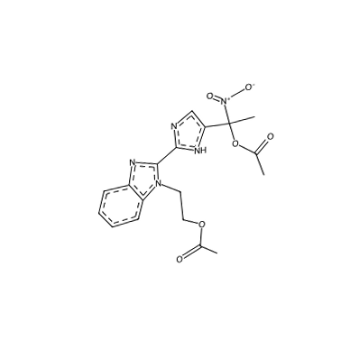 CC(=O)OCCn1c(-c2ncc(C(C)(OC(C)=O)[N+](=O)[O-])[nH]2)nc2ccccc21